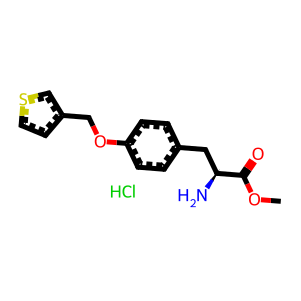 COC(=O)[C@@H](N)Cc1ccc(OCc2ccsc2)cc1.Cl